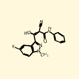 Cn1nc(C(O)=C(C#N)C(=O)Nc2ccccc2)c2cc(F)ccc21